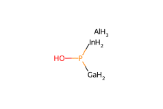 O[P]([GaH2])[InH2].[AlH3]